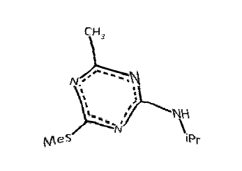 CSc1nc(C)nc(NC(C)C)n1